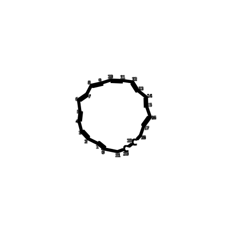 [C]1=C/C=C\C=C\C=C\C=C\C=C/C=C/C=C/C=C/CCCC/1